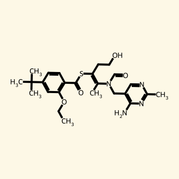 CCOc1cc(C(C)(C)C)ccc1C(=O)SC(CCO)=C(C)N(C=O)Cc1cnc(C)nc1N